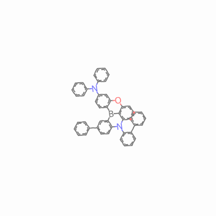 c1ccc(-c2ccc3c(c2)B2c4ccc(N(c5ccccc5)c5ccccc5)cc4Oc4cccc(c42)N3c2ccccc2-c2ccccc2)cc1